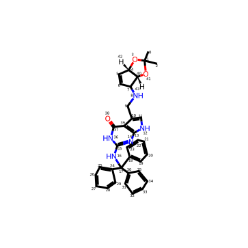 CC1(C)O[C@H]2C=CC(NCc3c[nH]c4nc(NC(c5ccccc5)(c5ccccc5)c5ccccc5)[nH]c(=O)c34)[C@H]2O1